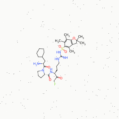 Cc1c(C)c(S(=O)(=O)NC(=N)NCCC[C@H](NC(=O)[C@@H]2CCCN2C(=O)[C@@H](N)CC2CCCCC2)C(=O)CF)c(C)c2c1OC(C)(C)C2